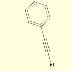 CCC#Cc1c[c]ccc1